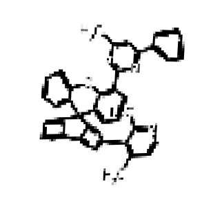 Cc1cc(-c2ccccc2)nc(-c2cccc3c2Oc2ccccc2C32c3ccccc3-c3ccc(-c4c(C)ccnc4C)cc32)n1